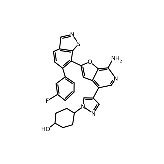 Nc1ncc(-c2cnn(C3CCC(O)CC3)c2)c2cc(-c3c(-c4cccc(F)c4)ccc4cnsc34)oc12